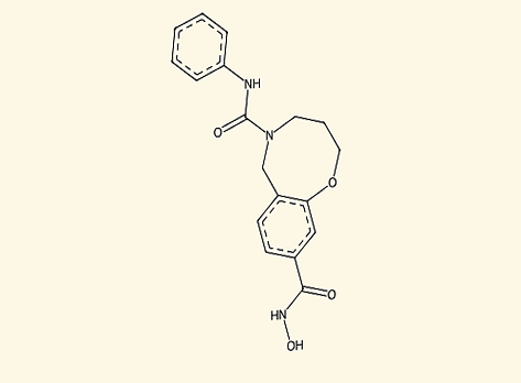 O=C(NO)c1ccc2c(c1)OCCCN(C(=O)Nc1ccccc1)C2